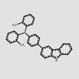 Cc1ccccc1N(c1ccc(-c2ccc3[nH]c4ccccc4c3c2)cc1)c1ccccc1C